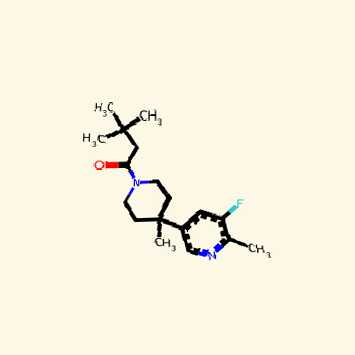 Cc1ncc(C2(C)CCN(C(=O)CC(C)(C)C)CC2)cc1F